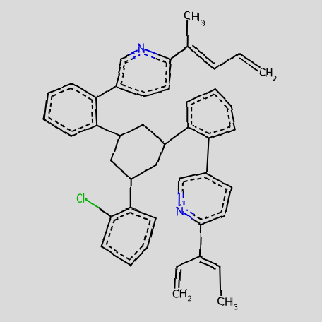 C=C/C=C(\C)c1ccc(-c2ccccc2C2CC(c3ccccc3Cl)CC(c3ccccc3-c3ccc(/C(C=C)=C/C)nc3)C2)cn1